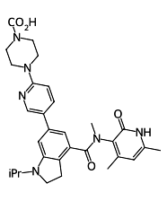 Cc1cc(C)c(N(C)C(=O)c2cc(-c3ccc(N4CCN(C(=O)O)CC4)nc3)cc3c2CCN3C(C)C)c(=O)[nH]1